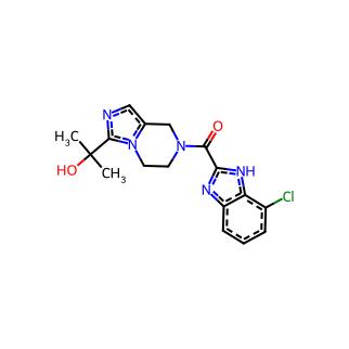 CC(C)(O)c1ncc2n1CCN(C(=O)c1nc3cccc(Cl)c3[nH]1)C2